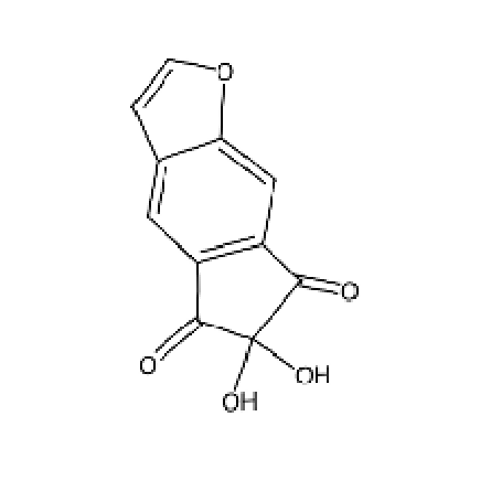 O=C1c2cc3ccoc3cc2C(=O)C1(O)O